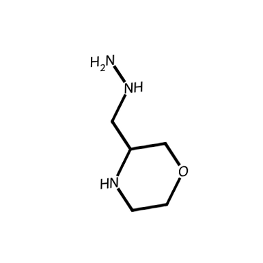 NNCC1COCCN1